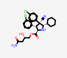 N#C[C@]1(c2ccc(Cl)cc2)[C@H](C2CCCCC2)N[C@@H](C(=O)OC[C@@H](O)CC(N)=O)[C@@H]1c1cccc(Cl)c1